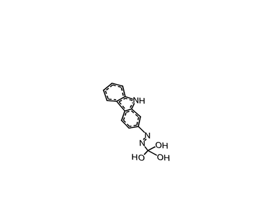 OC(O)(O)/N=N/c1ccc2c(c1)[nH]c1ccccc12